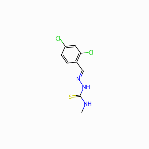 CNC(=S)N/N=C/c1ccc(Cl)cc1Cl